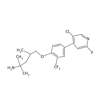 CC(COc1ccc(-c2cc(F)ncc2Cl)cc1C(F)(F)F)CC(C)(C)N